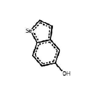 Oc1ccc2[se]ccc2c1